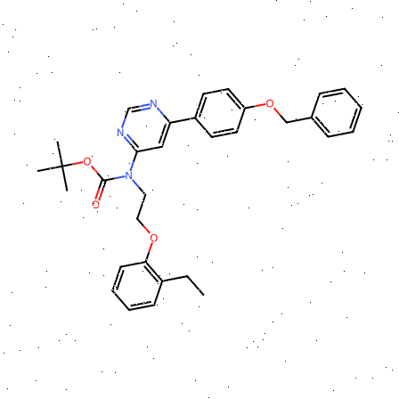 CCc1[c]cccc1OCCN(C(=O)OC(C)(C)C)c1cc(-c2ccc(OCc3ccccc3)cc2)ncn1